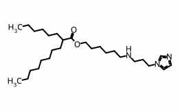 CCCCCCCCC(CCCCCC)C(=O)OCCCCCCNCCCn1ccnc1